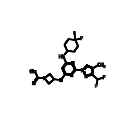 Cc1cn(-c2nc(NC3CCC(F)(F)CC3)cc(OC3CN(C(=O)C(C)(C)C)C3)n2)nc1C(F)F